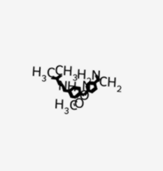 C=C(N)c1ccc(Oc2ccc(CNCC(CC)CC)cc2OC)nc1